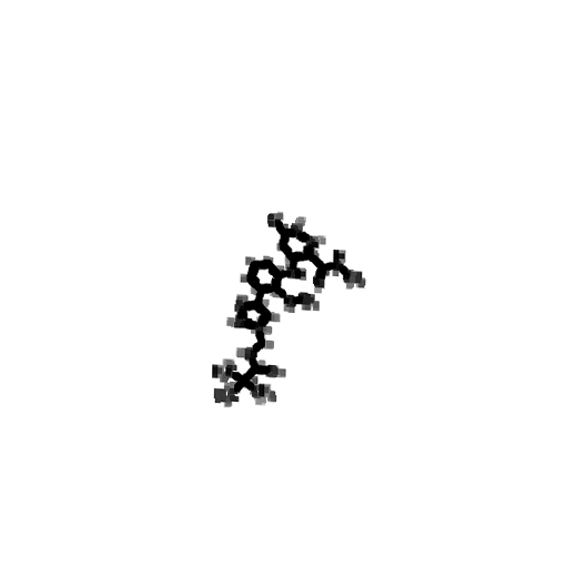 CNC(=O)c1nnc(Cl)cc1Nc1cccc(-c2cn(COC(=O)C(C)(C)C)nn2)c1OC